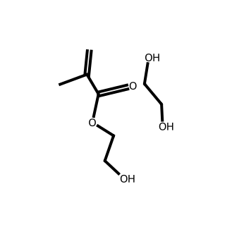 C=C(C)C(=O)OCCO.OCCO